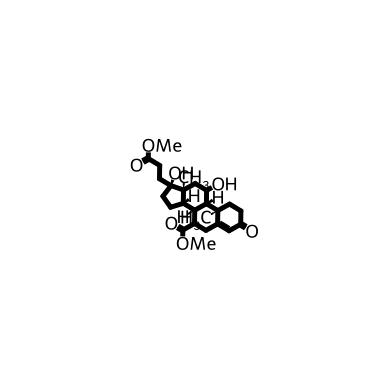 COC(=O)CC[C@@]1(O)CC[C@H]2[C@@H]3C(C(=O)OC)CC4=CC(=O)CC[C@]4(C)[C@H]3C(O)C[C@@]21C